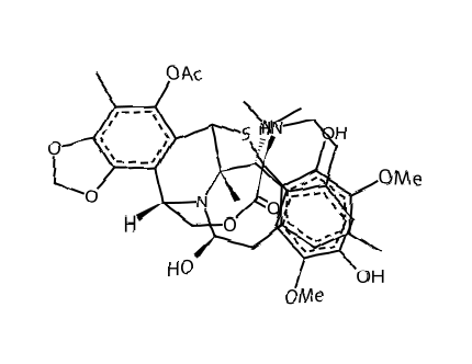 COc1cc2c(cc1O)CCN[C@@]21SC2c3c(OC(C)=O)c(C)c4c(c3[C@@H](COC1=O)N1[C@H](O)Cc3cc(C)c(OC)c(O)c3[C@@H](N(C)C)[C@@]21C)OCO4